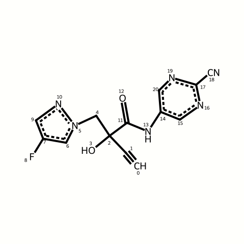 C#CC(O)(Cn1cc(F)cn1)C(=O)Nc1cnc(C#N)nc1